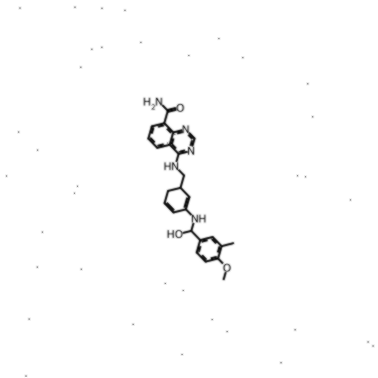 COc1ccc(C(O)NC2=CC(CNc3ncnc4c(C(N)=O)cccc34)CC=C2)cc1C